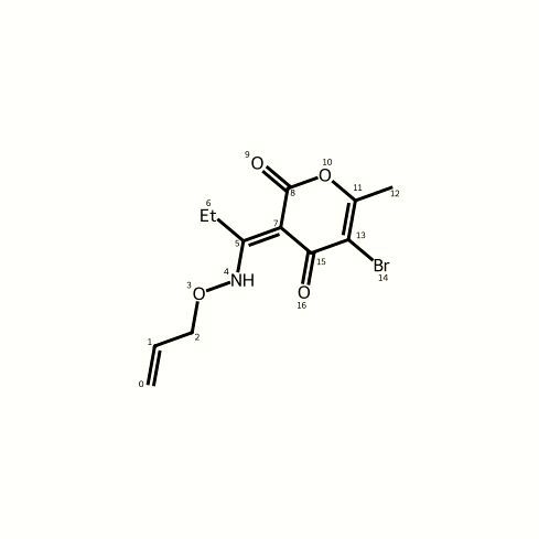 C=CCONC(CC)=C1C(=O)OC(C)=C(Br)C1=O